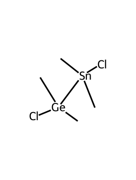 [CH3][Ge]([CH3])([Cl])[Sn]([CH3])([CH3])[Cl]